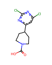 O=C(O)N1CCC(c2cc(Cl)nc(Cl)n2)CC1